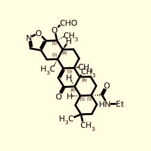 CCNC(=O)[C@]12CCC(C)(C)C[C@H]1[C@H]1C(=O)C=C3[C@@]4(C)Cc5cnoc5[C@@](C)(OC=O)[C@@H]4CC[C@@]3(C)[C@]1(C)CC2